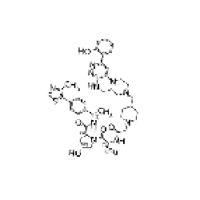 Cc1ncsc1-c1ccc([C@H](C)NC(=O)[C@@H]2C[C@@H](O)CN2C(=O)[C@@H](NC(=O)CN2CCC(CN3CCN4c5cc(-c6ccccc6O)nnc5NCC4C3)CC2)C(C)(C)C)cc1